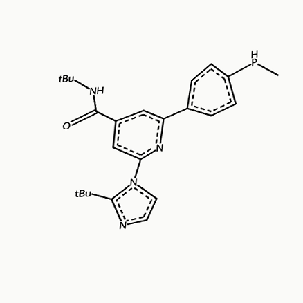 CPc1ccc(-c2cc(C(=O)NC(C)(C)C)cc(-n3ccnc3C(C)(C)C)n2)cc1